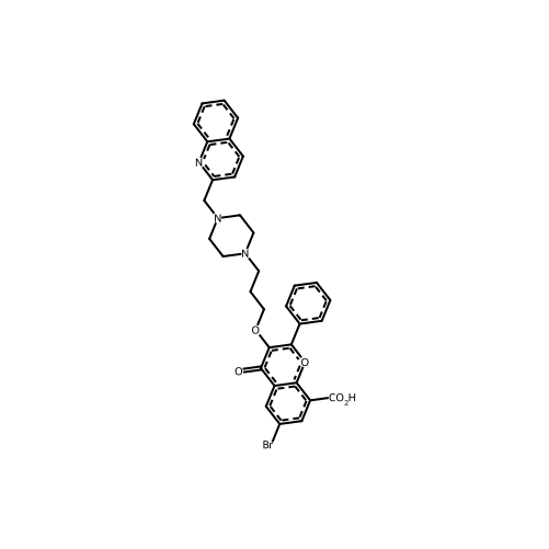 O=C(O)c1cc(Br)cc2c(=O)c(OCCCN3CCN(Cc4ccc5ccccc5n4)CC3)c(-c3ccccc3)oc12